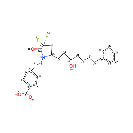 O=C(O)c1ccc(CCN2C(=O)C(F)(F)CC2/C=C/C(O)CCCCc2ccccc2)cc1